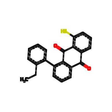 CCc1ccccc1-c1cccc2c1C(=O)c1c(S)cccc1C2=O